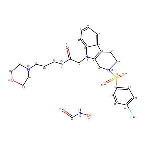 O=C(Cn1c2c(c3ccccc31)CCN(S(=O)(=O)c1ccc(F)cc1)C2)NCCCN1CCOCC1.O=CNO